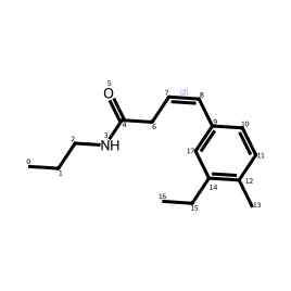 CCCNC(=O)C/C=C\c1ccc(C)c(CC)c1